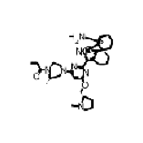 C=CC(=O)N1CCN(c2cc(OC[C@@H]3CCCN3C)nc(-c3noc4c3CCC[C@@]43CCCc4sc(N)c(C#N)c43)n2)C[C@@H]1C